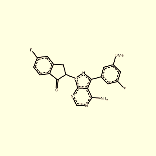 COc1cc(F)cc(-c2nn(C3Cc4cc(F)ccc4C3=O)c3ncnc(N)c23)c1